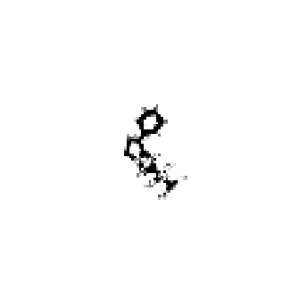 O=S(=O)(c1nc2n(n1)CCC2c1ccccc1)C(F)F